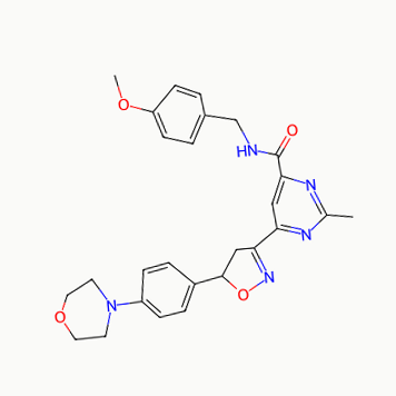 COc1ccc(CNC(=O)c2cc(C3=NOC(c4ccc(N5CCOCC5)cc4)C3)nc(C)n2)cc1